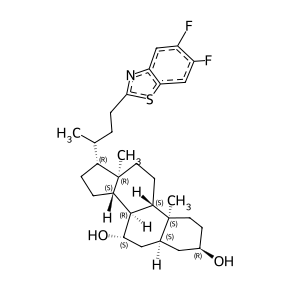 CC(CCc1nc2cc(F)c(F)cc2s1)[C@H]1CC[C@H]2[C@@H]3[C@@H](O)C[C@@H]4C[C@H](O)CC[C@]4(C)[C@H]3CC[C@]12C